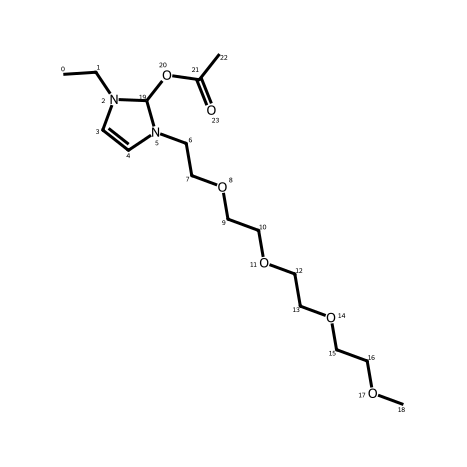 CCN1C=CN(CCOCCOCCOCCOC)C1OC(C)=O